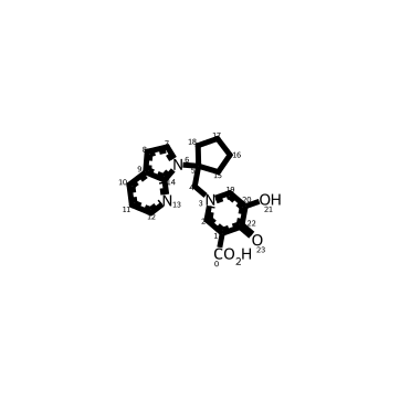 O=C(O)c1cn(CC2(n3ccc4cccnc43)CCCC2)cc(O)c1=O